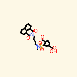 CN(CCCCN1C(=O)c2cccc3cccc(c23)C1=O)S(=O)(=O)c1cc(C(=O)O)ccc1C=O